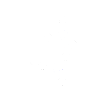 c1ccc(-c2nc(-c3ccc4c(c3)oc3c(-c5nc(-c6ccccc6)c6sc7ccccc7c6n5)cccc34)nc(-c3ccc4c(c3)sc3ccccc34)n2)cc1